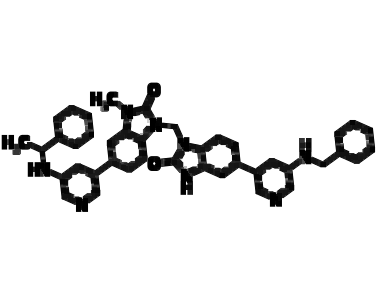 CC(Nc1cncc(-c2ccc3c(c2)n(C)c(=O)n3Cn2c(=O)[nH]c3cc(-c4cncc(NCc5ccccc5)c4)ccc32)c1)c1ccccc1